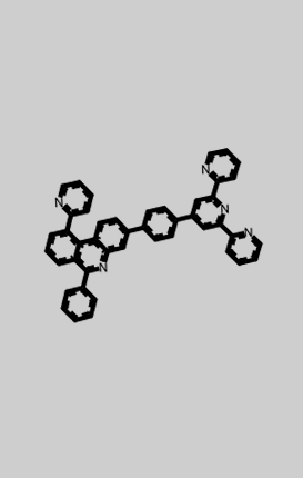 c1ccc(-c2nc3cc(-c4ccc(-c5cc(-c6ccccn6)nc(-c6ccccn6)c5)cc4)ccc3c3c(-c4ccccn4)cccc23)cc1